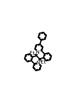 CCC12c3ccccc3-c3cc(-c4ccccc4)cc[n+]3C1(CC)c1ccccc1-c1cccc[n+]12